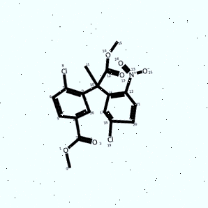 COC(=O)c1ccc(Cl)c(C(C)(C(=O)OC)c2cc(Cl)ccc2[N+](=O)[O-])c1